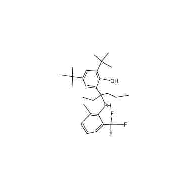 CCCC(CC)(Pc1c(C)cccc1C(F)(F)F)c1cc(C(C)(C)C)cc(C(C)(C)C)c1O